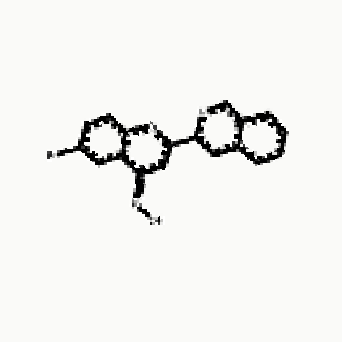 ON=c1cc(-c2cc3ccccc3cn2)oc2ccc(Br)cc12